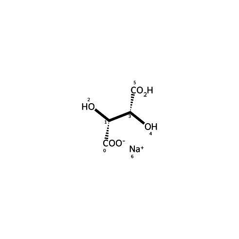 O=C([O-])[C@H](O)[C@@H](O)C(=O)O.[Na+]